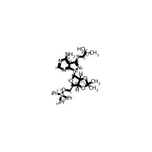 CC(C)[Si](OC[C@H]1O[C@@H](n2nc(SC[C@@H](C)O)c3c(N)ncnc32)[C@@H]2OC(C)(C)O[C@@H]21)(C(C)C)C(C)C